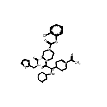 CC(=O)N1CCC([C@@H](NC2CCCCC2)C(=O)N2CCN(C(=O)Oc3ccccc3Cl)C[C@H]2C(=O)NCc2cccs2)CC1